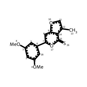 COc1cc(OC)cc(-c2cc3occ(C)c3c(=S)o2)c1